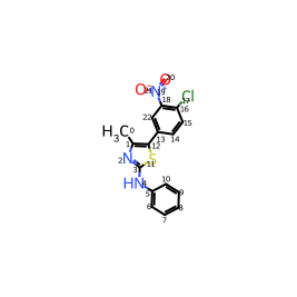 Cc1nc(Nc2ccccc2)sc1-c1ccc(Cl)c([N+](=O)[O-])c1